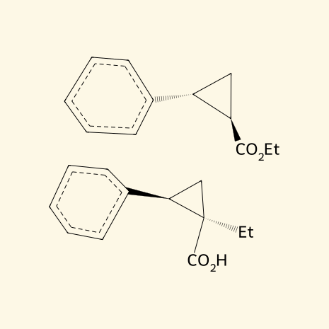 CCOC(=O)[C@@H]1C[C@H]1c1ccccc1.CC[C@@]1(C(=O)O)C[C@@H]1c1ccccc1